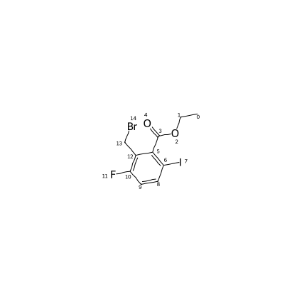 CCOC(=O)c1c(I)ccc(F)c1CBr